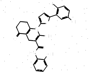 CC1=C(C(=O)Nc2ccccc2C)CC2=C(CCCC2=O)N1c1ccc(-c2cc(Cl)ccc2Cl)o1